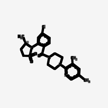 Cc1cnc(N2CCN(C(=O)c3ccc(Cl)cc3N3[C@H](C)CCS3(=O)=O)CC2)c(C)c1